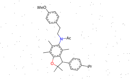 COc1ccc(CCN(C(C)=O)c2c(C)c(C)c3c(c2C)C(c2ccc(C(C)C)cc2)C(C)(C)O3)cc1